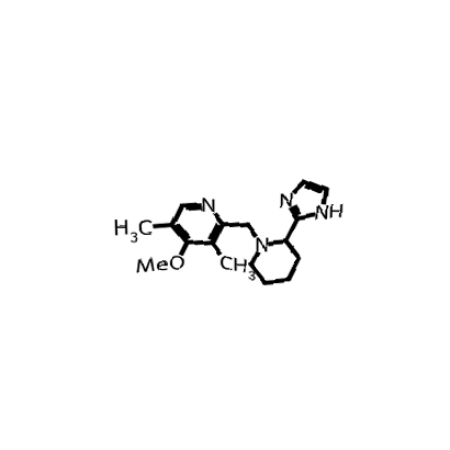 COc1c(C)cnc(CN2CCCCC2c2ncc[nH]2)c1C